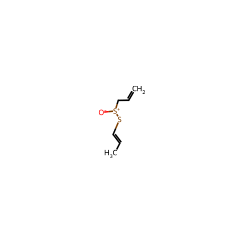 C=CC[S+]([O-])SC=CC